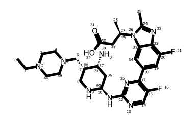 CCN1CCN(C[C@H]2CN[C@H](Nc3ncc(F)c(-c4cc(F)c5nc(C)n([C@H](C)CC(=O)O)c5c4)n3)C[C@H]2N)CC1